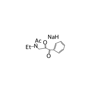 CCN(CC(=O)C(=O)c1ccccc1)C(C)=O.[NaH]